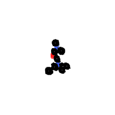 c1ccc(-c2ccc(N(c3ccc4c(c3)oc3ccc5c(c6ccccc6n5-c5ccccc5)c34)c3cc4ccccc4c4ccccc34)cc2)cc1